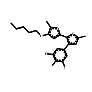 CCCCCOc1cc(-c2sc(C)cc2-c2cc(F)c(F)c(F)c2)sc1C